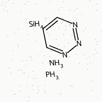 N.P.[SiH4].c1cnnnc1